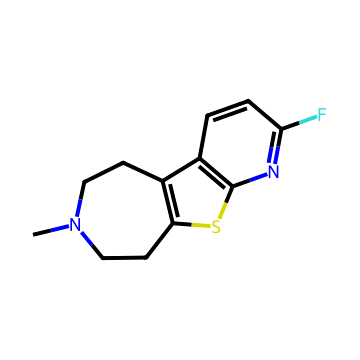 CN1CCc2sc3nc(F)ccc3c2CC1